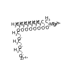 CC[O-].CC[O-].CC[O-].CC[O-].CC[O-].CC[O-].CC[O-].CC[O-].CC[O-].CC[O-].CC[O-].[Mg+2].[Ta+5].[Zr+4]